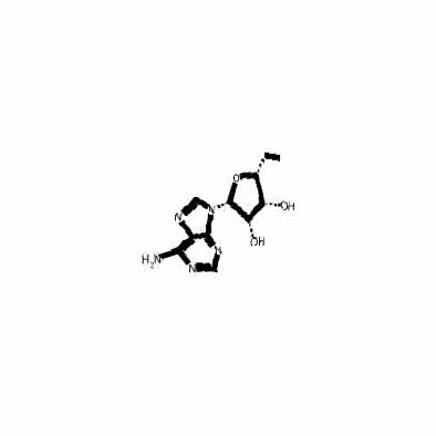 CC[C@H]1O[C@@H](n2cnc3c(N)ncnc32)[C@@H](O)[C@H]1O